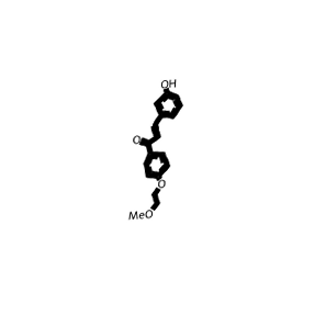 COCCOc1ccc(C(=O)C=Cc2cccc(O)c2)cc1